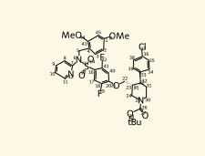 COc1ccc(CN(c2ccccn2)S(=O)(=O)c2cc(F)c(OC[C@H]3CN(C(=O)OC(C)(C)C)CC[C@@H]3c3ccc(Cl)cc3)cc2F)c(OC)c1